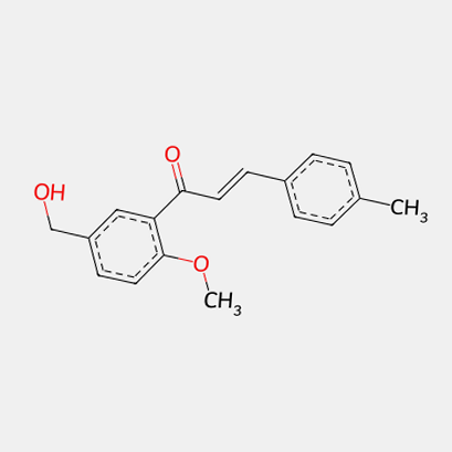 COc1ccc(CO)cc1C(=O)/C=C/c1ccc(C)cc1